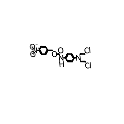 O=C(Nc1ccc(N(CCCl)CCCl)cc1)OCc1ccc([N+](=O)[O-])cc1